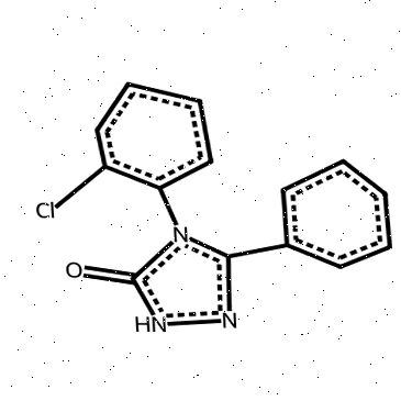 O=c1[nH]nc(-c2ccccc2)n1-c1ccccc1Cl